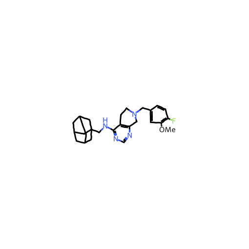 COc1cc(CN2CCc3c(ncnc3NCC34CC5CC(CC(C5)C3)C4)C2)ccc1F